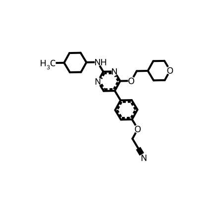 CC1CCC(Nc2ncc(-c3ccc(OCC#N)cc3)c(OCC3CCOCC3)n2)CC1